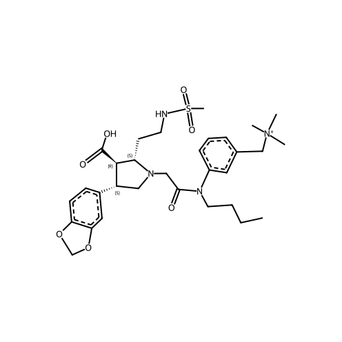 CCCCN(C(=O)CN1C[C@H](c2ccc3c(c2)OCO3)[C@@H](C(=O)O)[C@@H]1CCNS(C)(=O)=O)c1cccc(C[N+](C)(C)C)c1